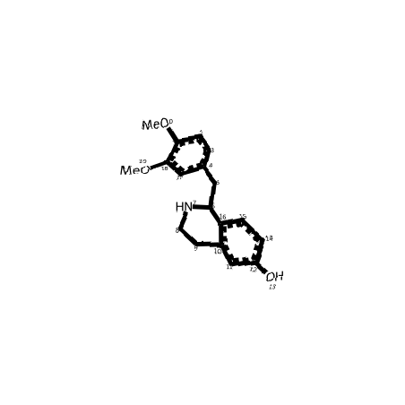 COc1ccc(CC2NCCc3cc(O)ccc32)cc1OC